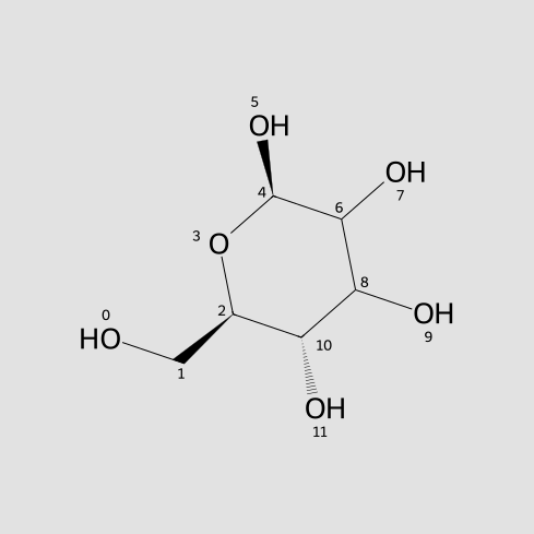 OC[C@H]1O[C@@H](O)C(O)C(O)[C@@H]1O